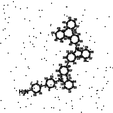 Nc1ccc(-c2ccc(-n3c4ccccc4c4cc(-c5ccc6c(c5)c5ccccc5n6-c5ccc6c7ccccc7c7ccccc7c6c5)ccc43)cc2)cc1